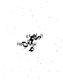 CCOCCn1nc(CC)c2nc(N3CCN[C@@H](C)C3)nc(Nc3cc(C)ccn3)c21